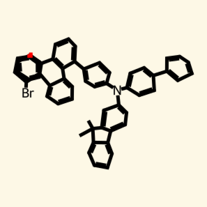 CC1(C)c2ccccc2-c2ccc(N(c3ccc(-c4ccccc4)cc3)c3ccc(-c4cccc(-c5ccccc5)c4-c4ccccc4-c4ccccc4Br)cc3)cc21